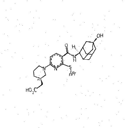 CCCSc1nc(N2CCC[C@H](CC(=O)O)C2)ccc1C(=O)N[C@H]1C2CC3CC1C[C@@](O)(C3)C2